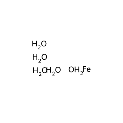 O.O.O.O.O.[Fe]